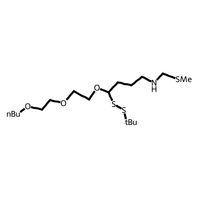 CCCCOCCOCCOC(CCCNCSC)SSC(C)(C)C